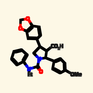 CCN(C(=O)N1CC(c2ccc3c(c2)OCO3)C(C(=O)O)C1c1ccc(OC)cc1)c1ccccc1